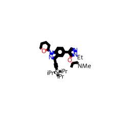 CCn1ncc(-c2ccc3c(c2)c(C#C[Si](C(C)C)(C(C)C)C(C)C)nn3C2CCCCO2)c1OC(C)CNC